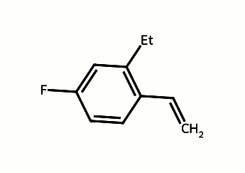 C=Cc1ccc(F)cc1CC